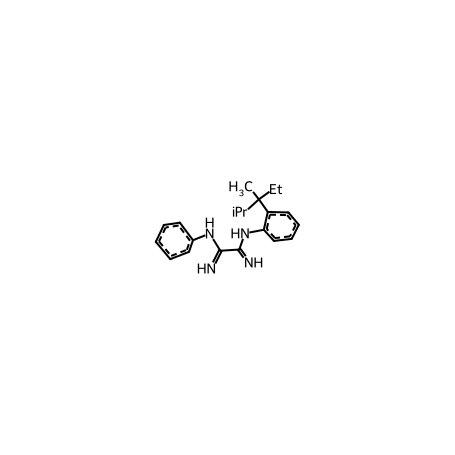 CCC(C)(c1ccccc1NC(=N)C(=N)Nc1ccccc1)C(C)C